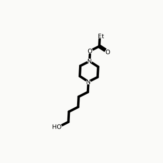 CCC(=O)ON1CCN(CCCCCO)CC1